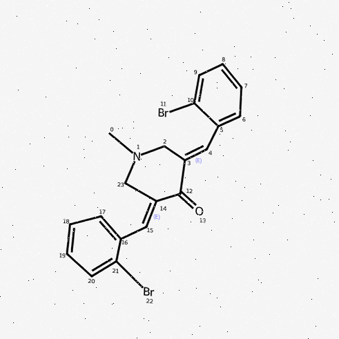 CN1C/C(=C\c2ccccc2Br)C(=O)/C(=C/c2ccccc2Br)C1